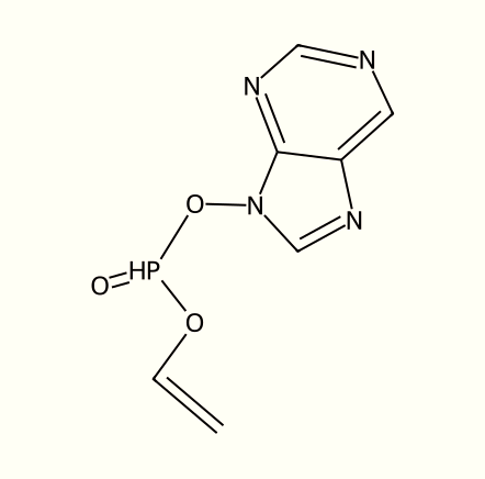 C=CO[PH](=O)On1cnc2cncnc21